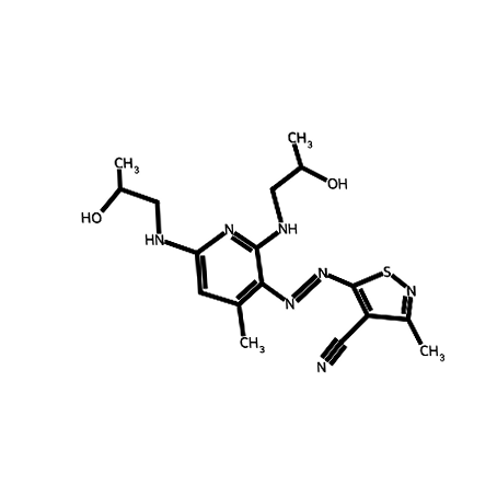 Cc1cc(NCC(C)O)nc(NCC(C)O)c1N=Nc1snc(C)c1C#N